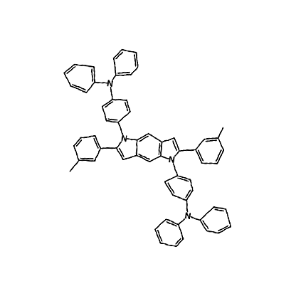 Cc1cccc(-c2cc3cc4c(cc(-c5cccc(C)c5)n4-c4ccc(N(c5ccccc5)c5ccccc5)cc4)cc3n2-c2ccc(N(c3ccccc3)c3ccccc3)cc2)c1